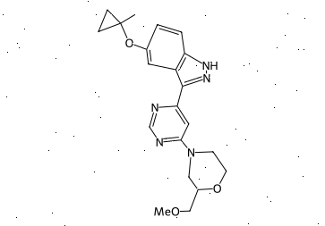 COCC1CN(c2cc(-c3n[nH]c4ccc(OC5(C)CC5)cc34)ncn2)CCO1